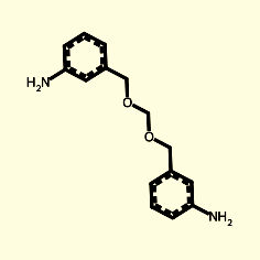 Nc1cccc(COCOCc2cccc(N)c2)c1